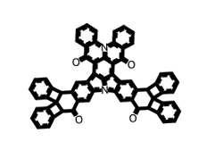 O=C1c2cc3c(cc2C2c4ccccc4C24c2ccccc2C14)c1c2c(=O)c4ccccc4n4c5ccccc5c(=O)c(c5c6cc7c(cc6n3c15)C(=O)C1c3ccccc3C13c1ccccc1C73)c24